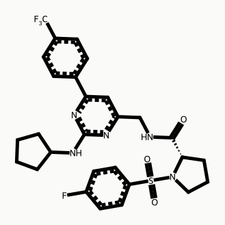 O=C(NCc1cc(-c2ccc(C(F)(F)F)cc2)nc(NC2CCCC2)n1)[C@@H]1CCCN1S(=O)(=O)c1ccc(F)cc1